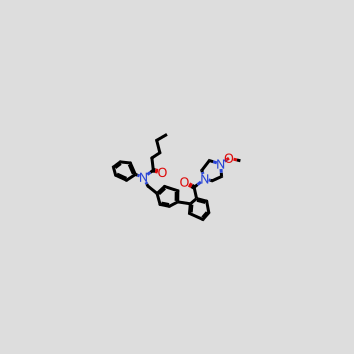 CCCCC(=O)N(Cc1ccc(-c2ccccc2C(=O)N2CCN(OC)CC2)cc1)c1ccccc1